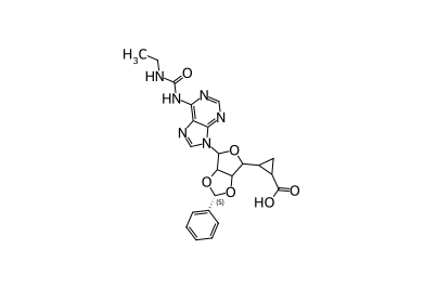 CCNC(=O)Nc1ncnc2c1ncn2C1OC(C2CC2C(=O)O)C2O[C@H](c3ccccc3)OC21